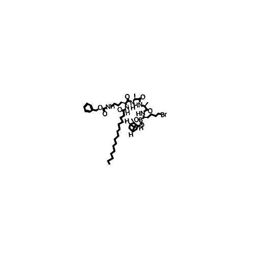 CCCCCCCCCCCCCCCC(=O)N[C@@H](CCCCNC(=O)OCc1ccccc1)C(=O)N[C@@H](C)C(=O)N[C@@H](C)C(=O)N[C@@H](CCCCBr)B1O[C@@H]2C[C@@H]3C[C@@H](C3(C)C)[C@]2(C)O1